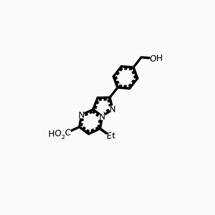 CCc1cc(C(=O)O)nc2cc(-c3ccc(CO)cc3)nn12